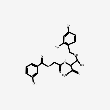 Cc1cc(C#N)ccc1CNC(C(NC(=O)CNC(=O)c1cccc(C(F)(F)F)c1)C(N)=O)C(C)(C)C